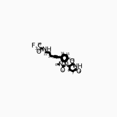 Cn1c(=O)n(C2CCC(=O)NC2=O)c2cccc(C#CCCCNC(=O)C(F)(F)F)c21